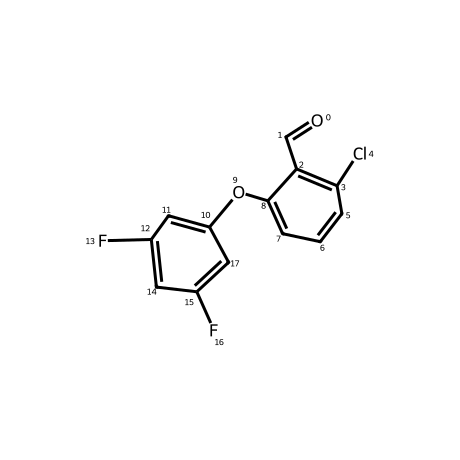 O=Cc1c(Cl)cccc1Oc1cc(F)cc(F)c1